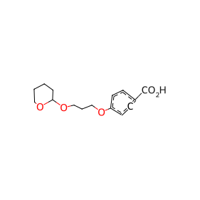 O=C(O)c1ccc(OCCCOC2CCCCO2)cc1